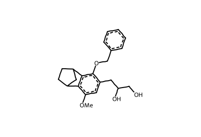 COc1cc(CC(O)CO)c(OCc2ccccc2)c2c1C1CCC2C1